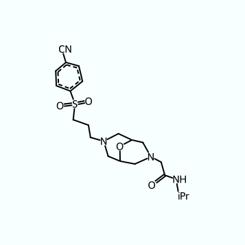 CC(C)NC(=O)CN1CC2CN(CCCS(=O)(=O)c3ccc(C#N)cc3)CC(C1)O2